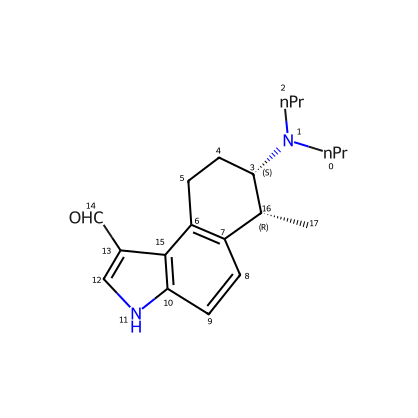 CCCN(CCC)[C@H]1CCc2c(ccc3[nH]cc(C=O)c23)[C@H]1C